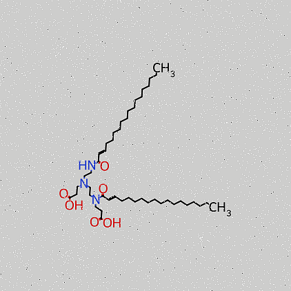 CCCCCCCCCCCCCCCC=CC(=O)NCCN(CCC(=O)O)CCN(CCC(=O)O)C(=O)C=CCCCCCCCCCCCCCCC